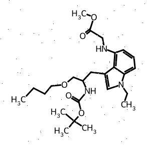 CCCCOCC(Cc1cn(CC)c2cccc(NCC(=O)OC)c12)NC(=O)OC(C)(C)C